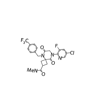 CNC(=O)C1CC2(C1)C(=O)N(c1ncc(Cl)cc1F)CC(=O)N2Cc1ccc(C(F)(F)F)cc1